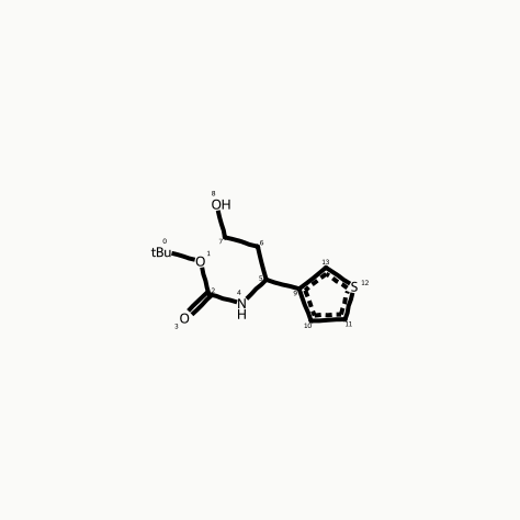 CC(C)(C)OC(=O)NC(CCO)c1ccsc1